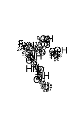 CC[C@@]1(O)C(=O)OCc2c1cc1n(c2=O)Cc2c-1nc1cc(F)c(C)c3c1c2[C@@H](NC(=O)COCNC(=O)CNC(=O)CCc1ccccc1)CC3.O=C(O)C(F)(F)F